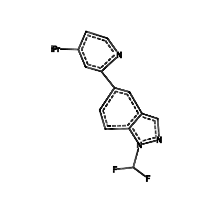 CC(C)c1ccnc(-c2ccc3c(cnn3C(F)F)c2)c1